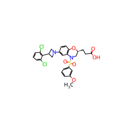 COc1cccc(S(=O)(=O)N2C[C@H](CCC(=O)O)Oc3ccc(N4CC(c5c(Cl)cccc5Cl)C4)cc32)c1